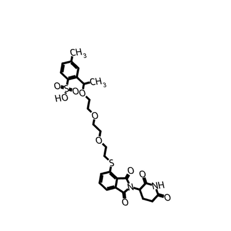 Cc1ccc(S(=O)(=O)O)c(C(C)OCCOCCOCCSc2cccc3c2C(=O)N(C2CCC(=O)NC2=O)C3=O)c1